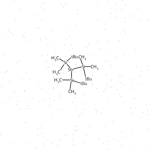 CC(C)(C)[Si](C)(C)[Sb]([Si](C)(C)C(C)(C)C)[Si](C)(C)C(C)(C)C